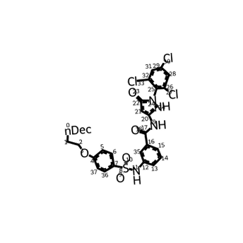 CCCCCCCCCCCCOc1ccc(S(=O)(=O)Nc2cccc(C(=O)Nc3cc(=O)n(-c4c(Cl)cc(Cl)cc4Cl)[nH]3)c2)cc1